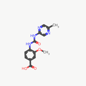 COc1cc(C(=O)O)ccc1NC(=O)Nc1cnc(C)cn1